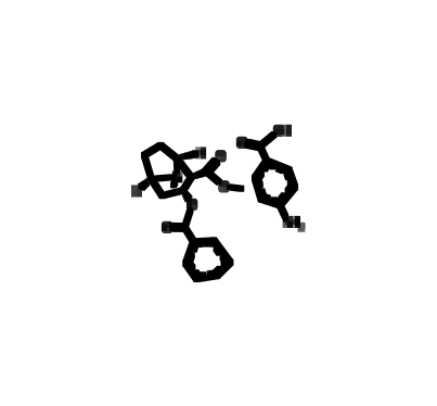 COC(=O)[C@H]1[C@@H](OC(=O)c2ccccc2)C[C@@H]2CC[C@H]1N2C.Nc1ccc(C(=O)O)cc1